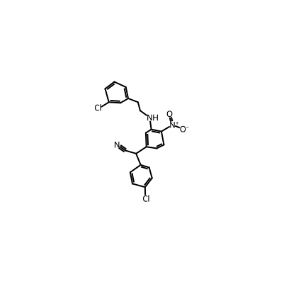 N#CC(c1ccc(Cl)cc1)c1ccc([N+](=O)[O-])c(NCCc2cccc(Cl)c2)c1